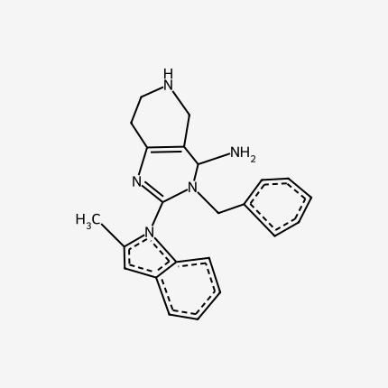 Cc1cc2ccccc2n1C1=NC2=C(CNCC2)C(N)N1Cc1ccccc1